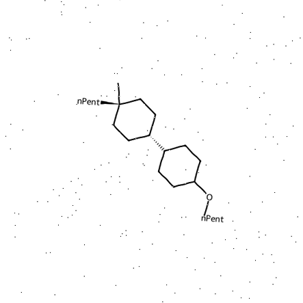 CCCCCOC1CCC([C@H]2CC[C@](C)(CCCCC)CC2)CC1